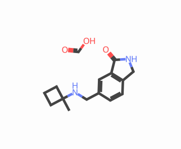 CC1(NCc2ccc3c(c2)C(=O)NC3)CCC1.O=CO